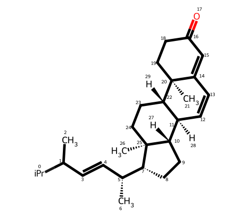 CC(C)C(C)C=C[C@@H](C)[C@H]1CC[C@H]2[C@@H]3C=CC4=CC(=O)CC[C@]4(C)[C@H]3CC[C@]12C